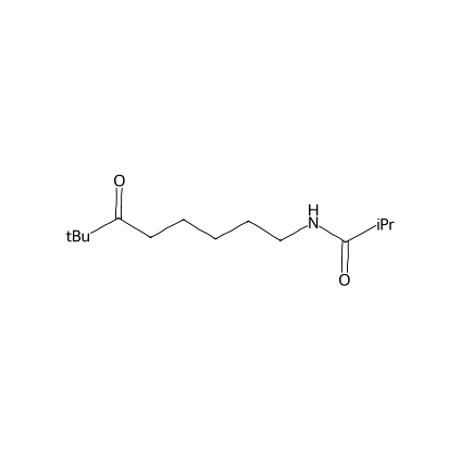 CC(C)C(=O)NCCCCCC(=O)C(C)(C)C